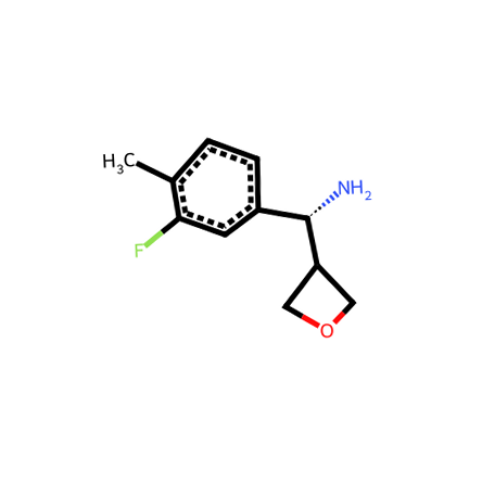 Cc1ccc([C@H](N)C2COC2)cc1F